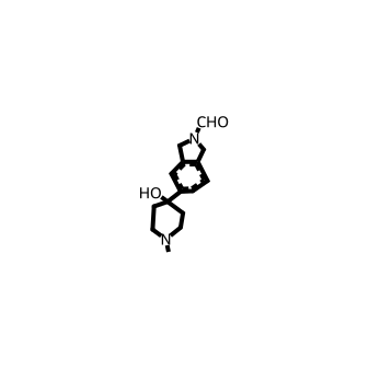 CN1CCC(O)(c2ccc3c(c2)CN(C=O)C3)CC1